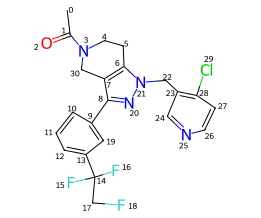 CC(=O)N1CCc2c(c(-c3cccc(C(F)(F)CF)c3)nn2Cc2cnccc2Cl)C1